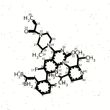 BC(B)=Cc1cccc(F)c1-c1nc2c(cc1F)c(N1CCN(C(=O)C=C)C[C@@H]1C)nc(=O)n2-c1c(C(C)C)ccnc1C(C)C